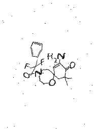 CC1(C)CC2(C=C(N)C1=O)CN(C(=O)C(F)(F)c1ccccc1)CCO2